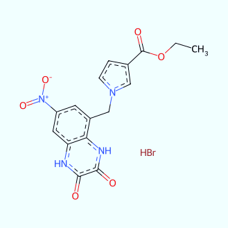 Br.CCOC(=O)c1ccn(Cc2cc([N+](=O)[O-])cc3[nH]c(=O)c(=O)[nH]c23)c1